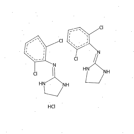 Cl.Clc1cccc(Cl)c1N=C1NCCN1.Clc1cccc(Cl)c1N=C1NCCN1